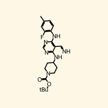 Cc1ccc(Nc2ncnc(NC3CCN(C(=O)OC(C)(C)C)CC3)c2C=N)c(F)c1